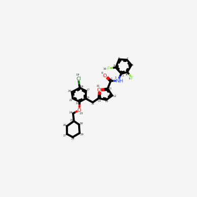 O=C(Nc1c(F)cccc1F)c1ccc(Cc2cc(Cl)ccc2OCC2CCCCC2)o1